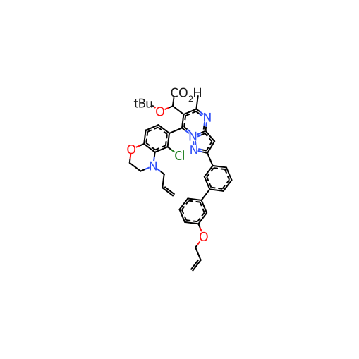 C=CCOc1cccc(-c2cccc(-c3cc4nc(C)c(C(OC(C)(C)C)C(=O)O)c(-c5ccc6c(c5Cl)N(CC=C)CCO6)n4n3)c2)c1